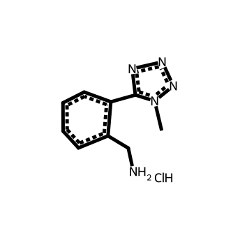 Cl.Cn1nnnc1-c1ccccc1CN